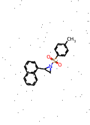 Cc1ccc(S(=O)(=O)N2CC2c2cccc3ccccc23)cc1